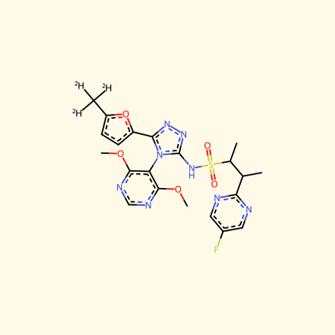 [2H]C([2H])([2H])c1ccc(-c2nnc(NS(=O)(=O)C(C)C(C)c3ncc(F)cn3)n2-c2c(OC)ncnc2OC)o1